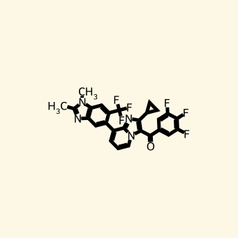 Cc1nc2cc(-c3cccn4c(C(=O)c5cc(F)c(F)c(F)c5)c(C5CC5)nc34)c(C(F)(F)F)cc2n1C